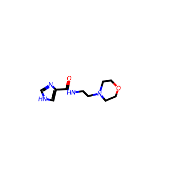 O=C(NCCN1CCOCC1)c1c[nH]cn1